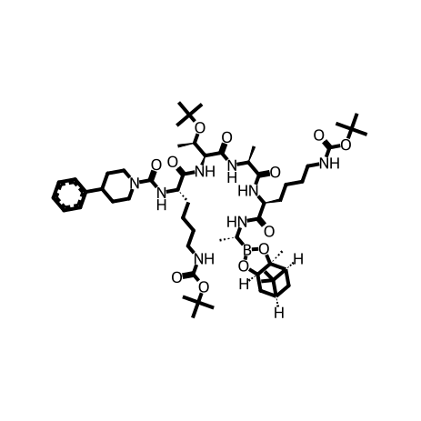 C[C@H](NC(=O)[C@H](CCCCNC(=O)OC(C)(C)C)NC(=O)[C@H](C)NC(=O)[C@@H](NC(=O)[C@H](CCCCNC(=O)OC(C)(C)C)NC(=O)N1CCC(c2ccccc2)CC1)[C@@H](C)OC(C)(C)C)B1O[C@@H]2C[C@@H]3C[C@@H](C3(C)C)[C@]2(C)O1